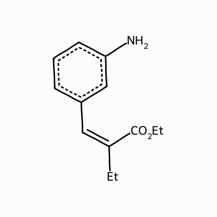 CCOC(=O)/C(=C\c1cccc(N)c1)CC